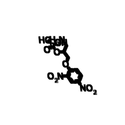 NCC(COc1ccc([N+](=O)[O-])cc1[N+](=O)[O-])OP(=O)(O)O